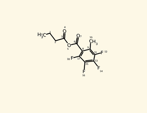 CCCC(=O)OC(=O)c1c(C)c(F)c(F)c(F)c1F